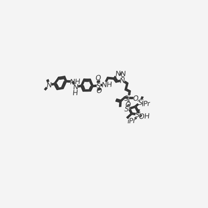 C=C(C)C[Si]1(CCCn2cc(CNS(=O)(=O)c3ccc(NNc4ccc(N(C)C)cc4)cc3)nn2)O[Si](C)(C(C)C)C(C)[Si](C)(C(C)[Si](C)(O)C(C)C)O1